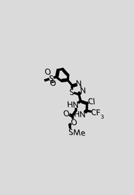 CSCOC(=O)CN/C(=C(/Cl)C(=N)C(F)(F)F)c1nnc(-c2cccc(S(C)(=O)=O)c2)s1